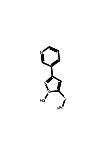 CCCCSc1cc(-c2cccnc2)nn1S